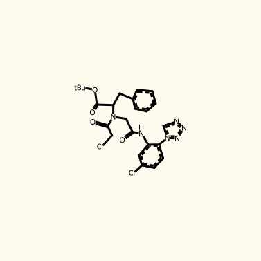 CC(C)(C)OC(=O)C(Cc1ccccc1)N(CC(=O)Nc1cc(Cl)ccc1-n1cnnn1)C(=O)CCl